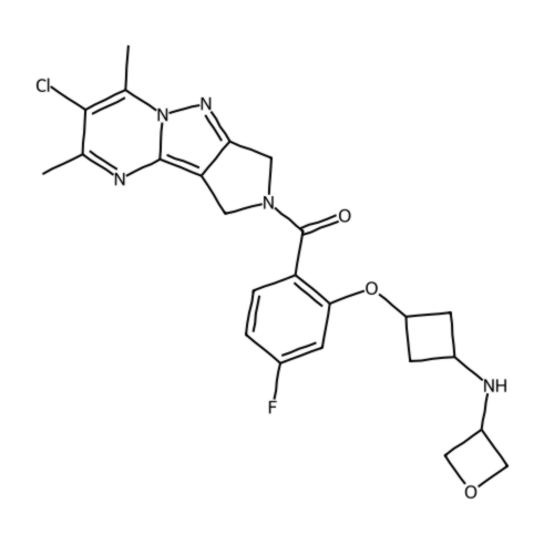 Cc1nc2c3c(nn2c(C)c1Cl)CN(C(=O)c1ccc(F)cc1OC1CC(NC2COC2)C1)C3